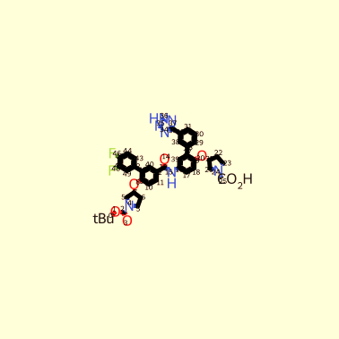 CC(C)(C)OC(=O)N1CC[C@H](Oc2ccc(C(=O)Nc3ccc(O[C@@H]4CCN(C(=O)O)C4)c(-c4cccc(-c5nn[nH]n5)c4)c3)cc2-c2ccc(F)c(F)c2)C1